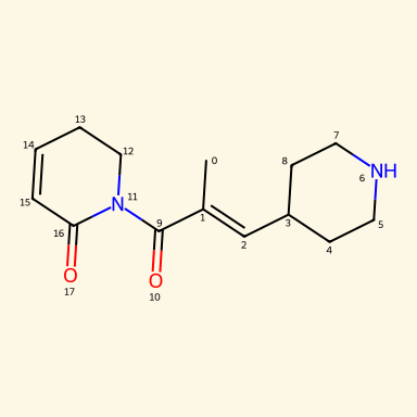 C/C(=C\C1CCNCC1)C(=O)N1CCC=CC1=O